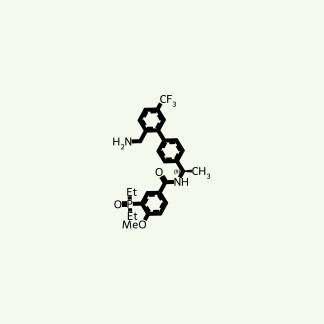 CCP(=O)(CC)c1cc(C(=O)N[C@H](C)c2ccc(-c3cc(C(F)(F)F)ccc3CN)cc2)ccc1OC